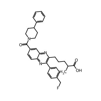 CC(CCCc1nc2cc(C(=O)N3CCC(c4ccccc4)CC3)ccc2nc1-c1ccc(CF)cc1)C(=O)O